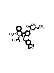 CCCCN(C(C)=O)c1ccc2c(c1)c(-c1ccccc1OC)c(OC(=O)O)n2Cc1ccc2nsnc2c1